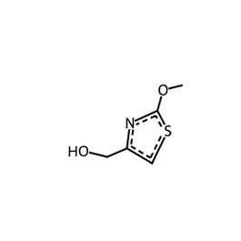 COc1nc(CO)cs1